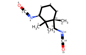 CC1(C)[C@@H](N=C=O)CCC[C@]1(C)CN=C=O